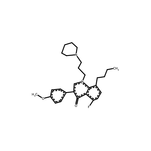 CCCCc1ccc(F)c2c(=O)c(-c3ccc(OC)cc3)cn(CCCN3CCCCC3)c12